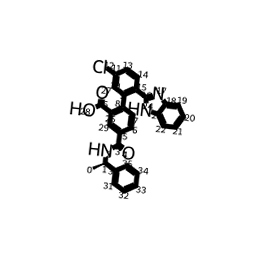 C[C@@H](NC(=O)c1ccc(-c2cc(Cl)ccc2-c2nc3ccccc3[nH]2)c(C(=O)O)c1)c1ccccc1